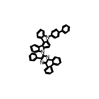 c1ccc(-c2ccc(-n3c4ccccc4c4c5c6ccccc6n(-c6nc7c8ccccc8c8ccccc8c7nc6-c6ccccc6)c5ccc43)cc2)cc1